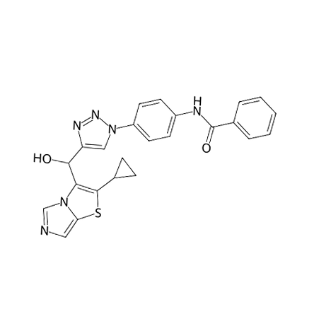 O=C(Nc1ccc(-n2cc(C(O)c3c(C4CC4)sc4cncn34)nn2)cc1)c1ccccc1